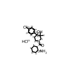 CC1(C)CN(C(=O)[C@H]2CCCC[C@H]2N)CC[C@]1(O)c1ccc(Cl)cc1.Cl